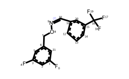 Fc1cc(F)cc(CO/N=[C]\c2cccc(C(F)(F)F)c2)c1